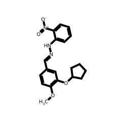 COc1ccc(C=NNc2ccccc2[N+](=O)[O-])cc1OC1CCCC1